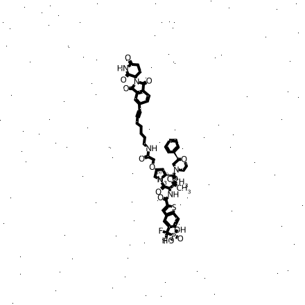 CC(C)(C)C(NC(=O)c1cc2cc(C(F)(F)P(=O)(O)O)ccc2s1)C(=O)N1C[C@@H](OCC(=O)NCCCCCC#Cc2ccc3c(c2)C(=O)N(C2CCC(=O)NC2=O)C3=O)C[C@H]1C(=O)N1CCO[C@H](c2ccccc2)C1